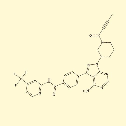 CC#CC(=O)N1CCCC(n2nc(-c3ccc(C(=O)Nc4cc(C(F)(F)F)ccn4)cc3)c3c(N)ncnc32)C1